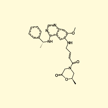 COc1cc2ncnc(N[C@H](C)c3ccccc3)c2cc1NCC=CC(=O)N1CC(=O)O[C@H](C)C1